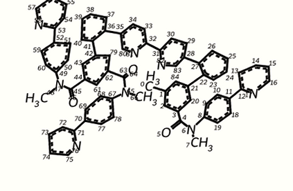 Cc1cc(C(=O)N(C)c2ccc(-c3ccccn3)cc2)cc(-c2ccccc2-c2ccc(-c3ccc(-c4ccccc4-c4cc(C(=O)N(C)c5ccc(-c6ccccn6)cc5)cc(C(=O)N(C)c5ccc(-c6ccccn6)cc5)c4)cn3)nc2)c1